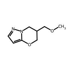 COCC1COc2ccnn2C1